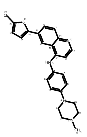 CN1CCN(c2ccc(Nc3ccnc4ccc(-c5ccc(Cl)s5)cc34)cc2)CC1